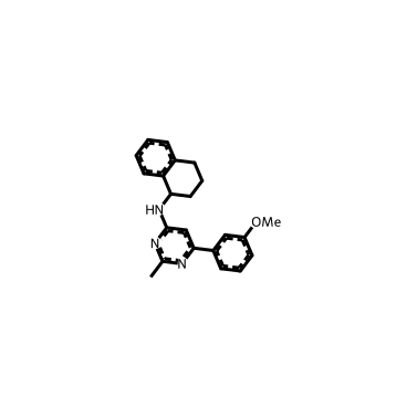 COc1cccc(-c2cc(NC3CCCc4ccccc43)nc(C)n2)c1